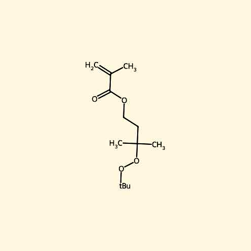 C=C(C)C(=O)OCCC(C)(C)OOC(C)(C)C